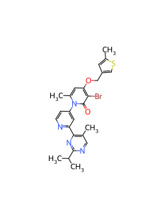 Cc1cc(COc2cc(C)n(-c3ccnc(-c4nc(C(C)C)ncc4C)c3)c(=O)c2Br)cs1